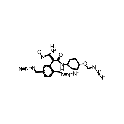 [N-]=[N+]=NCO[C@H]1CC[C@@H](NC(=O)/C(=C(\N)N=O)c2cc(CN=[N+]=[N-])ccc2CN=[N+]=[N-])CC1